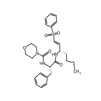 CSCC[C@@H](/C=C/S(=O)(=O)c1ccccc1)NC(=O)[C@H](Cc1ccccc1)NC(=O)N1CCOCC1